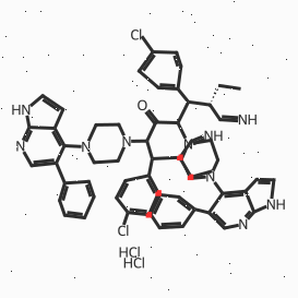 CC[C@H](C=N)C(c1ccc(Cl)cc1)C(C(=O)C(C(c1ccc(Cl)cc1)[C@@H](C=N)CC)N1CCN(c2c(-c3ccccc3)cnc3[nH]ccc23)CC1)N1CCN(c2c(-c3ccccc3)cnc3[nH]ccc23)CC1.Cl.Cl